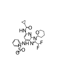 O=C(Nc1cc(Nc2ccccc2[SH](=O)=O)c2nc(C(F)F)n(C3CCCCO3)c2n1)C1CC1